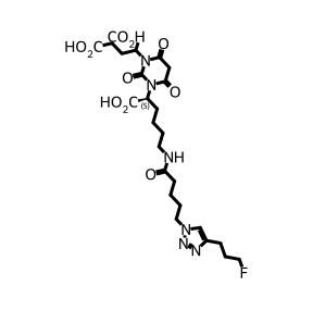 O=C(O)CCC(C(=O)O)N1C(=O)CC(=O)N([C@@H](CCCCNC(=O)CCCCn2cc(CCCF)nn2)C(=O)O)C1=O